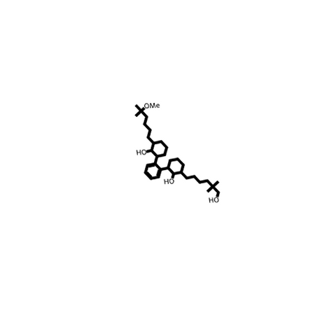 COC(C)(C)CCCCC1CCCC(c2ccccc2C2CCCC(CCCCC(C)(C)CO)C2O)C1O